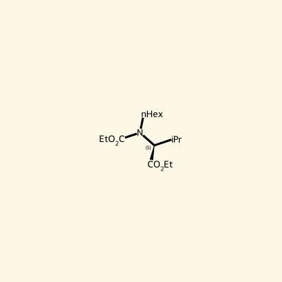 CCCCCCN(C(=O)OCC)[C@H](C(=O)OCC)C(C)C